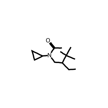 CCC(CN(C(C)=O)C1CC1)C(C)(C)C